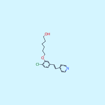 OCCCCCCOc1cc(C=Cc2ccncc2)ccc1Cl